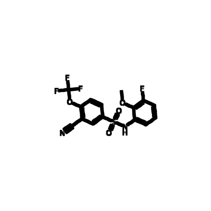 COc1c(F)cccc1NS(=O)(=O)c1ccc(OC(F)(F)F)c(C#N)c1